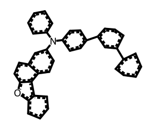 c1ccc(-c2cccc(-c3ccc(N(c4ccccc4)c4ccc5c(ccc6oc7ccccc7c65)c4)cc3)c2)cc1